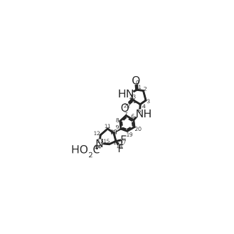 O=C1CCC(Nc2ccc([C@@H]3CCN(C(=O)O)CC3(F)F)cc2)C(=O)N1